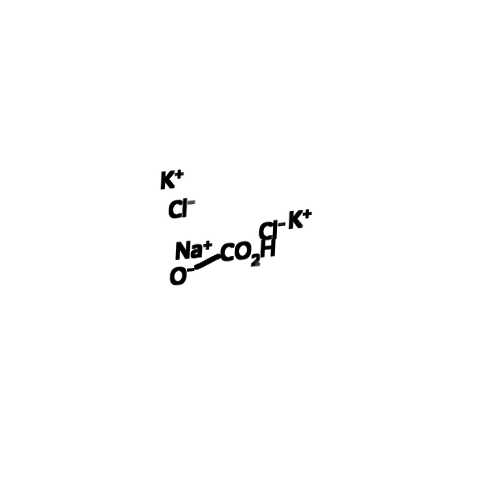 O=C([O-])O.[Cl-].[Cl-].[K+].[K+].[Na+]